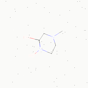 CN1CCN(O)C(O)C1